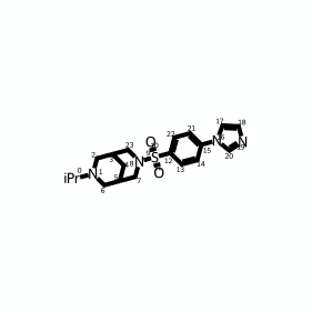 CC(C)N1CC2CC(C1)CN(S(=O)(=O)c1ccc(-n3ccnc3)cc1)C2